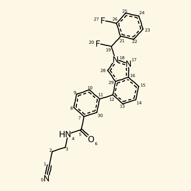 N#CCCNC(=O)c1cccc(-c2cccc3nn(C(F)c4ccccc4F)cc23)c1